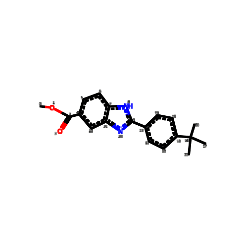 COC(=O)c1ccc2[nH]c(-c3ccc(C(C)(C)C)cc3)nc2c1